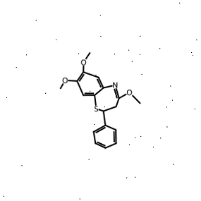 COC1=Nc2cc(OC)c(OC)cc2SC(c2ccccc2)C1